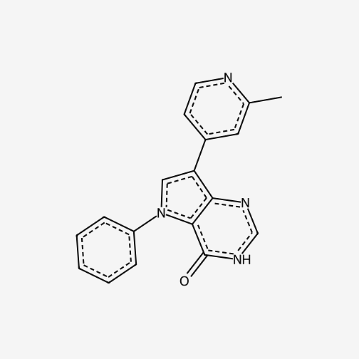 Cc1cc(-c2cn(-c3ccccc3)c3c(=O)[nH]cnc23)ccn1